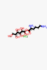 Cl.NCCCC[C@H](N)C(=O)OC(O)[C@H](O)[C@@H](O)[C@H](O)[C@H](O)CO